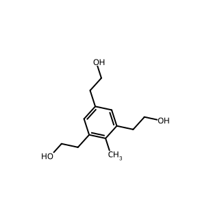 Cc1c(CCO)cc(CCO)cc1CCO